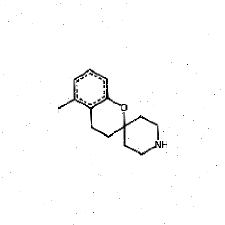 Ic1cccc2c1CCC1(CCNCC1)O2